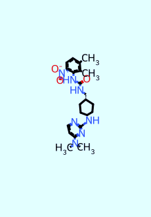 Cc1ccc([N+](=O)[O-])c(NC(=O)NC[C@H]2CC[C@@H](Nc3nccc(N(C)C)n3)CC2)c1C